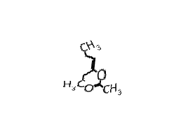 CC/C=C(\CC)OC(C)=O